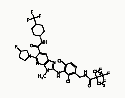 Cn1c(Nc2c(Cl)ccc(CNC(=O)C(C)(C)C(F)(F)F)c2Cl)nc2cc(C(=O)N[C@H]3CC[C@H](C(F)(F)F)CC3)c(N3CCC(F)C3)nc21